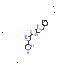 O=C(NC1CNN(Cc2cccc(F)c2)C1)C1CC(C2CCNCN2)ON1